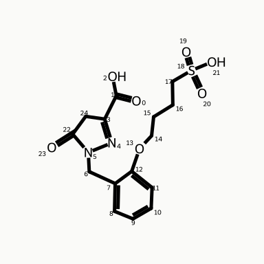 O=C(O)C1=NN(Cc2ccccc2OCCCCS(=O)(=O)O)C(=O)C1